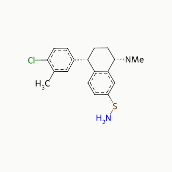 CN[C@H]1CC[C@@H](c2ccc(Cl)c(C)c2)c2ccc(SN)cc21